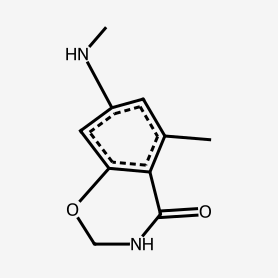 CNc1cc(C)c2c(c1)OCNC2=O